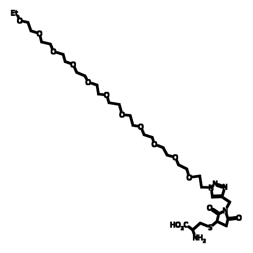 CCOCCOCCOCCOCCOCCOCCOCCOCCOCCOCCOCCn1cc(CN2C(=O)CC(SCC(N)C(=O)O)C2=O)nn1